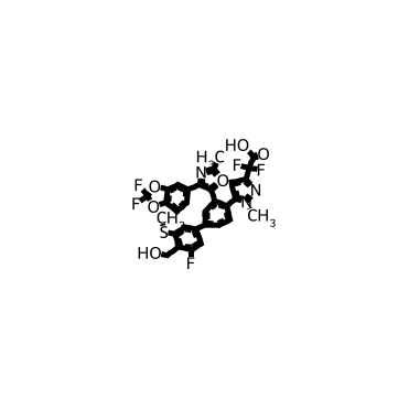 CSc1cc(-c2ccc(-c3cc(C(F)(F)C(=O)O)nn3C)c(-c3oc(C)nc3-c3ccc4c(c3)OC(F)(F)O4)c2)cc(F)c1CO